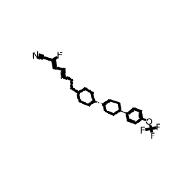 N#C/C(F)=C/C=C/CCC1CCC([C@H]2CC[C@H](c3ccc(OC(F)(F)F)cc3)CC2)CC1